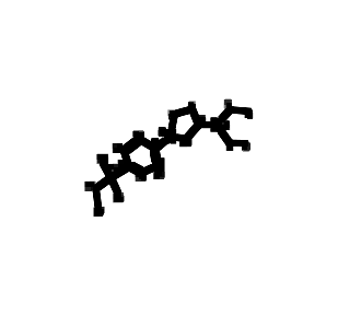 CCN(CC)C1CCN(c2ccc(C(C)(C)CC)cn2)C1